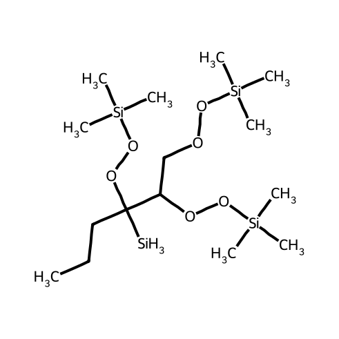 CCCC([SiH3])(OO[Si](C)(C)C)C(COO[Si](C)(C)C)OO[Si](C)(C)C